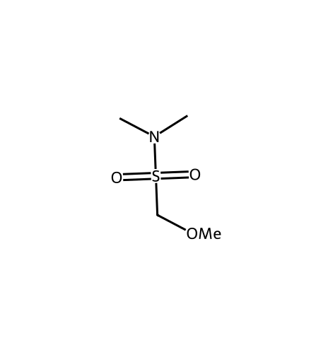 COCS(=O)(=O)N(C)C